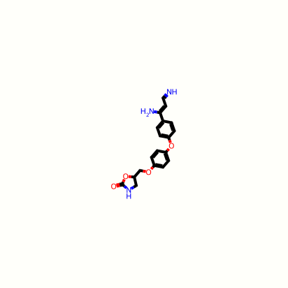 N=C/C=C(\N)c1ccc(Oc2ccc(OCC3CNC(=O)O3)cc2)cc1